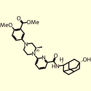 COC(=O)c1cc(N2CCN(c3cccc(C(=O)N[C@H]4C5CC6CC4C[C@](O)(C6)C5)n3)[C@H](C)C2)ccc1OC